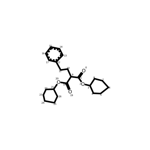 O=C(OC1CCCCC1)C(CCc1ccccc1)C(=O)OC1CCCCC1